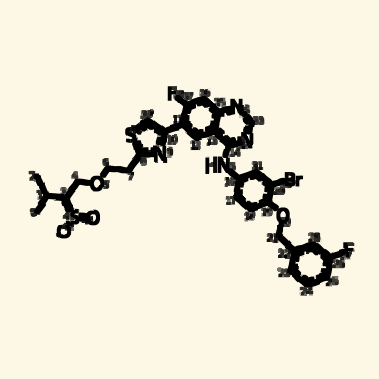 CC(C)C(COCCc1nc(-c2cc3c(Nc4ccc(OCc5cccc(F)c5)c(Br)c4)ncnc3cc2F)cs1)=S(=O)=O